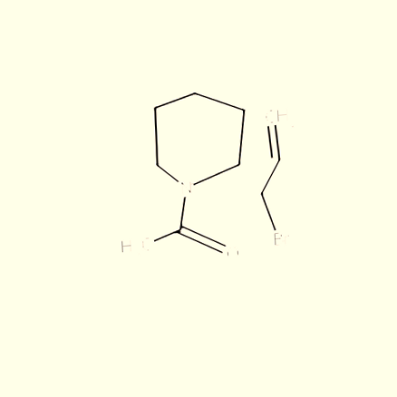 C=CCBr.CC(=O)N1CCCCC1